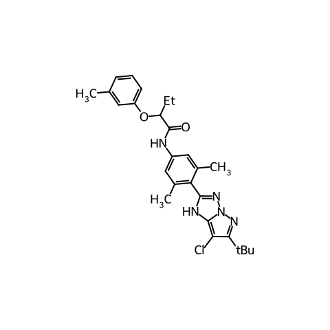 CCC(Oc1cccc(C)c1)C(=O)Nc1cc(C)c(-c2nn3nc(C(C)(C)C)c(Cl)c3[nH]2)c(C)c1